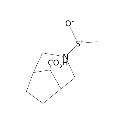 C[S+]([O-])N1CC2CCC(C1)C2C(=O)O